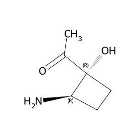 CC(=O)[C@@]1(O)CC[C@H]1N